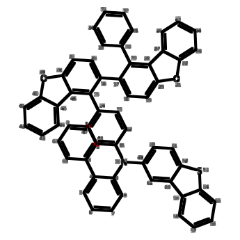 c1ccc(-c2ccccc2N(c2ccc(-c3c(-c4ccc5oc6ccccc6c5c4-c4ccccc4)ccc4oc5ccccc5c34)cc2)c2ccc3sc4ccccc4c3c2)cc1